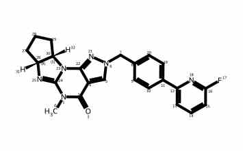 CN1C(=O)c2cn(Cc3ccc(-c4cccc(F)n4)cc3)nc2N2C1=N[C@@H]1CCC[C@@H]12